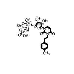 Cc1ccc(CCn2c(=O)ccn([C@@H]3O[C@H](COP(=O)(O)OP(=O)(O)OP(=O)(O)O)[C@H](O)[C@@H]3O)c2=O)cc1